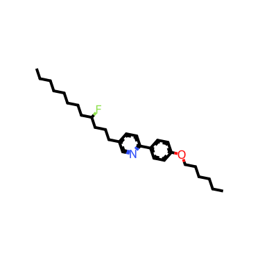 CCCCCCCCC(F)CCCc1ccc(-c2ccc(OCCCCCC)cc2)nc1